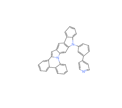 c1cc(-c2ccncc2)cc(-n2c3ccccc3c3cc4cc5c6ccccc6c6ccccc6n5c4cc32)c1